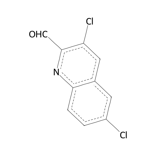 O=Cc1nc2ccc(Cl)cc2cc1Cl